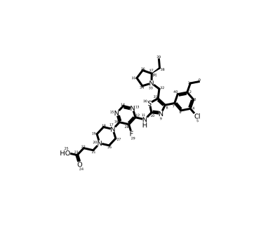 CCc1cc(Cl)cc(-c2nc(Nc3ncnc(N4CCN(CCC(=O)O)CC4)c3F)sc2CN2CCC[C@H]2CC)c1